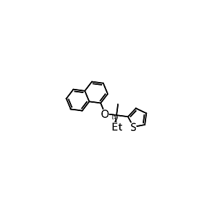 [CH2]C[C@](C)(Oc1cccc2ccccc12)c1cccs1